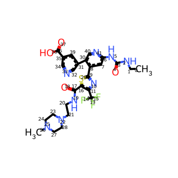 CCNC(=O)Nc1cc(-c2nc(C(F)(F)F)c(C(=O)NCCN3CCN(C)CC3)s2)c(-c2cncc(C(=O)O)c2)cn1